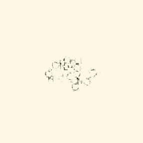 Cc1cc(N(c2ccccc2)C2C=CC=C(c3ccccc3)C2)c2c3c1C=CC1C(N(c4ccccc4)C4CCC=C(C5C=CC=CC5)C4)=CC4=C(C(=C2)C(C)(C)CC4)C31